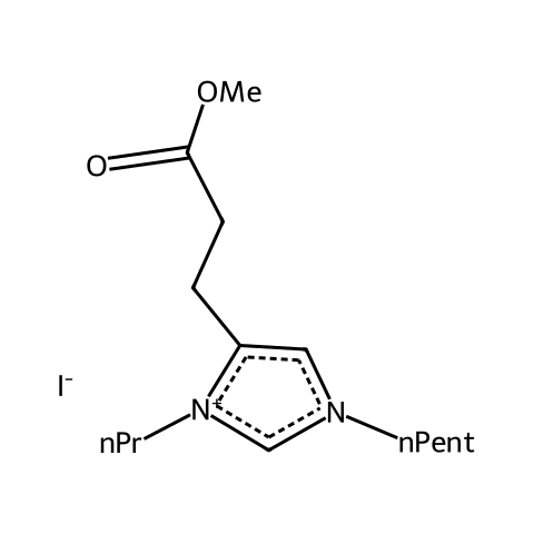 CCCCCn1cc(CCC(=O)OC)[n+](CCC)c1.[I-]